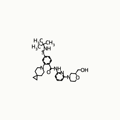 CC(C)(C)NSc1ccc(C(=O)Nc2cccc(N3CCO[C@H](CO)C3)n2)c(N2CCC3(CC2)CC3)c1